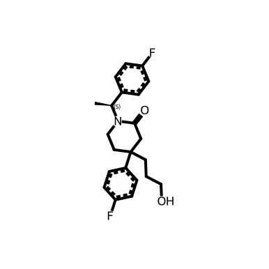 C[C@@H](c1ccc(F)cc1)N1CCC(CCCO)(c2ccc(F)cc2)CC1=O